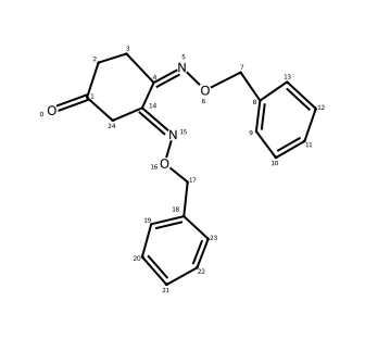 O=C1CCC(=N/OCc2ccccc2)/C(=N/OCc2ccccc2)C1